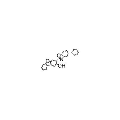 Oc1cc2c(cc1-c1nc3cc(-c4ccccc4)ccc3o1)oc1ccccc12